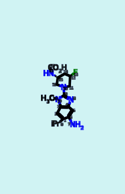 CC(C)c1cc2c(cc1N)nc(N1C[C@H](F)C[C@@H](NC(=O)O)C1)n2C